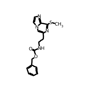 CSc1nc(CCNC(=O)OCc2ccccc2)cn2ccnc12